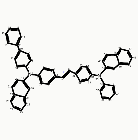 C(=C\c1ccc(N(c2ccc(-c3ccccc3)cc2)c2ccc3ccccc3c2)cc1)/c1ccc(N(c2ccccc2)c2ccc3ccccc3c2)cc1